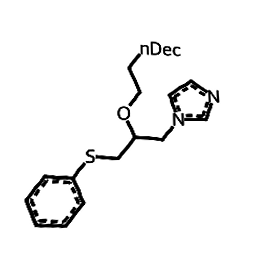 CCCCCCCCCCCCOC(CSc1ccccc1)Cn1ccnc1